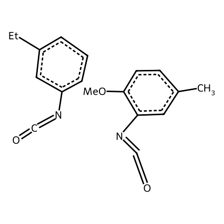 CCc1cccc(N=C=O)c1.COc1ccc(C)cc1N=C=O